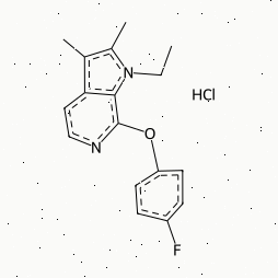 CCn1c(C)c(C)c2ccnc(Oc3ccc(F)cc3)c21.Cl